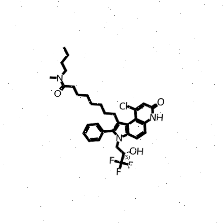 CCCCN(C)C(=O)CCCCCCCc1c(-c2ccccc2)n(C[C@H](O)C(F)(F)F)c2ccc3[nH]c(=O)cc(Cl)c3c12